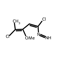 COC(/C=C(/Cl)N=N)=C(/C)Cl